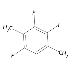 Cc1cc(F)c(C)c(F)c1I